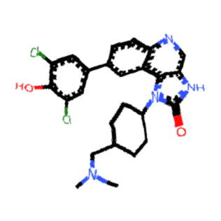 CN(C)CC1CCC(n2c(=O)[nH]c3cnc4ccc(-c5cc(Cl)c(O)c(Cl)c5)cc4c32)CC1